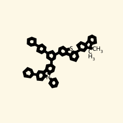 CC1(C)c2ccccc2-c2ccc(-c3cccc4c3sc3ccc(-c5cc(-c6ccc(-c7ccccc7)cc6)cc(-c6ccc7c(c6)c6cc(-c8ccccc8)ccc6n7-c6ccccc6)c5)cc34)cc21